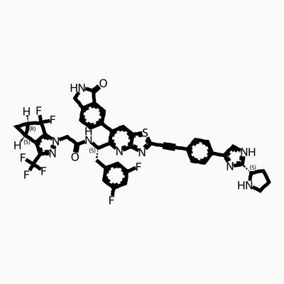 O=C(Cn1nc(C(F)(F)F)c2c1C(F)(F)[C@@H]1C[C@H]21)N[C@@H](Cc1cc(F)cc(F)c1)c1nc2nc(C#Cc3ccc(-c4c[nH]c([C@@H]5CCCN5)n4)cc3)sc2cc1-c1ccc2c(c1)C(=O)NC2